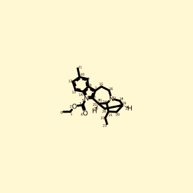 CCOC(=O)n1c2c(c3cc(C)ccc31)CCN1C[C@H]3CC(CC)C1[C@H]2C3